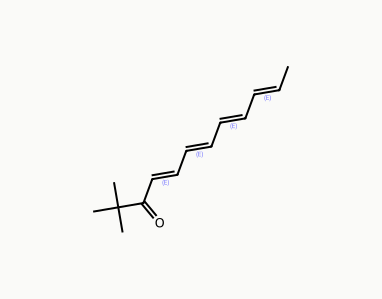 C/C=C/C=C/C=C/C=C/C(=O)C(C)(C)C